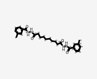 Cc1cccc(C(=O)NNC(=O)CCCCCCCCC(=O)NNC(=O)c2cccc(C)c2)c1